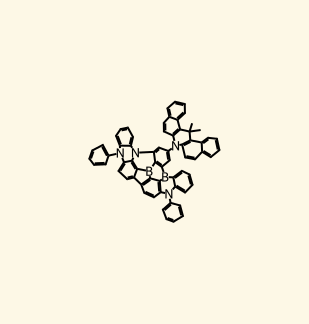 CC1(C)c2c(ccc3ccccc23)N(c2cc3c4c(c2)N2c5ccccc5N(c5ccccc5)c5ccc6c(c52)B4c2c-6ccc4c2B3c2ccccc2N4c2ccccc2)c2ccc3ccccc3c21